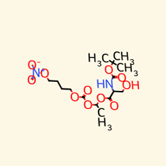 CC(OC(=O)OCCCCO[N+](=O)[O-])OC(=O)C(CO)NC(=O)OC(C)(C)C